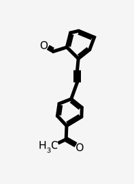 CC(=O)c1ccc(C#Cc2ccccc2C=O)cc1